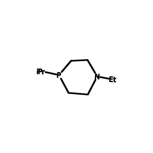 CCN1CCP(C(C)C)CC1